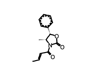 C/C=C/C(=O)N1C(=O)O[C@@H](c2ccccc2)[C@H]1C